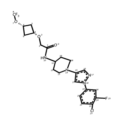 O=C(CO[C@H]1C[C@@H](OC(F)(F)F)C1)NC1CCN(c2cnn(-c3ccc(Cl)c(F)c3)c2)CC1